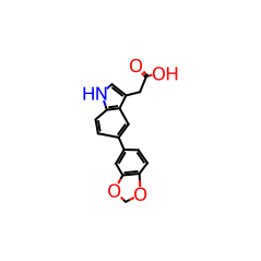 O=C(O)Cc1c[nH]c2ccc(-c3ccc4c(c3)OCO4)cc12